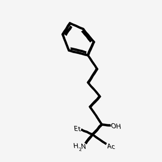 CCC(N)(C(C)=O)C(O)CCCCc1ccccc1